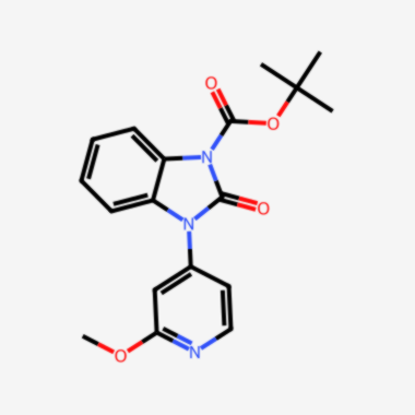 COc1cc(-n2c(=O)n(C(=O)OC(C)(C)C)c3ccccc32)ccn1